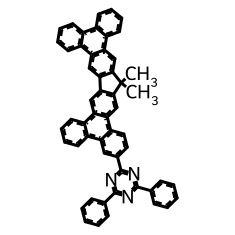 CC1(C)c2cc3c4ccccc4c4ccccc4c3cc2-c2cc3c4ccccc4c4cc(-c5nc(-c6ccccc6)nc(-c6ccccc6)n5)ccc4c3cc21